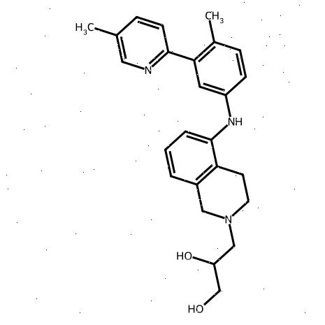 Cc1ccc(-c2cc(Nc3cccc4c3CCN(CC(O)CO)C4)ccc2C)nc1